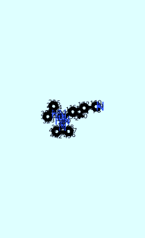 CC1(C)c2cc(-c3ccncc3)ccc2-c2ccc(-c3nc(-n4c5ccccc5c5ccccc54)nc(-n4c5ccccc5c5ccccc54)n3)cc21